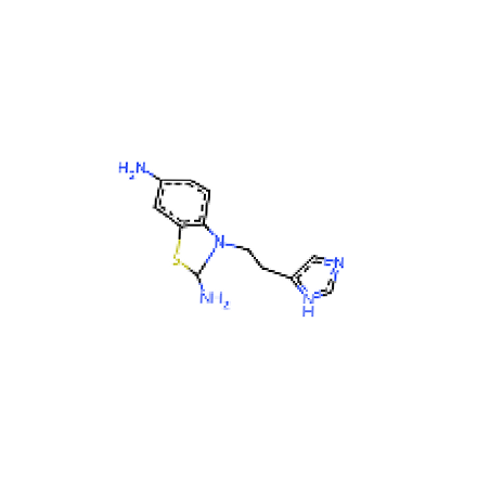 Nc1ccc2c(c1)SC(N)N2CCc1cnc[nH]1